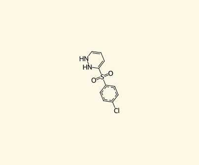 O=S(=O)(C1=CC=CNN1)c1ccc(Cl)cc1